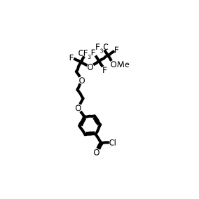 COC(F)(C(F)(F)F)C(F)(F)OC(F)(COCCOc1ccc(C(=O)Cl)cc1)C(F)(F)F